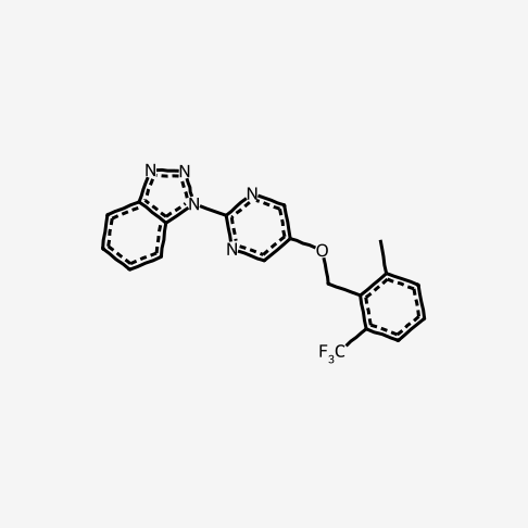 Cc1cccc(C(F)(F)F)c1COc1cnc(-n2nnc3ccccc32)nc1